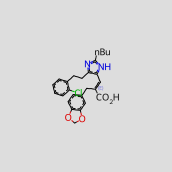 CCCCc1nc(CCc2ccccc2Cl)c(/C=C(\Cc2ccc3c(c2)OCO3)C(=O)O)[nH]1